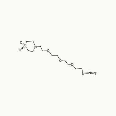 [N-]=[N+]=NCCOCCOCCOCCN1CCS(=O)(=O)CC1